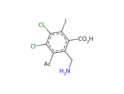 CC(=O)c1c(Cl)c(Cl)c(I)c(C(=O)O)c1CN